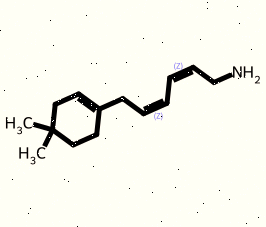 CC1(C)CC=C(C/C=C\C=C/CN)CC1